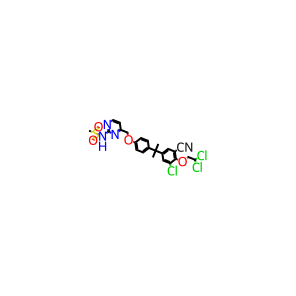 CC(C)(c1ccc(OCc2ccnc(NS(C)(=O)=O)n2)cc1)c1cc(Cl)c(OCC(Cl)Cl)c(C#N)c1